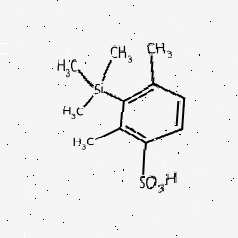 Cc1ccc(S(=O)(=O)O)c(C)c1[Si](C)(C)C